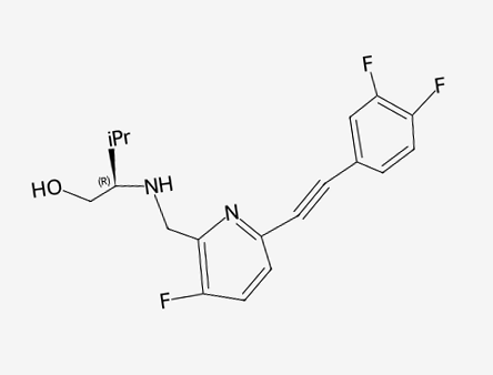 CC(C)[C@H](CO)NCc1nc(C#Cc2ccc(F)c(F)c2)ccc1F